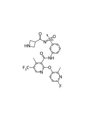 Cc1nc(F)ccc1Oc1ncc(C(F)(F)F)c(C)c1C(=O)Nc1cccc([S@@](C)(=O)=NC(=O)C2CNC2)c1